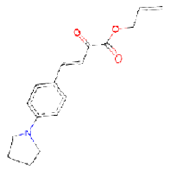 C=CCOC(=O)C(=O)/C=C/c1ccc(N2CCCC2)cc1